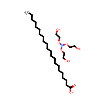 CCCCCCCCCCCCCCCCCCCCCC(=O)O.OCCON(OCCO)OCCO